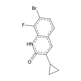 O=c1[nH]c2c(F)c(Br)ccc2cc1C1CC1